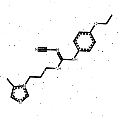 CCOc1ccc(NC(=NC#N)NCCCn2cncc2C)cc1